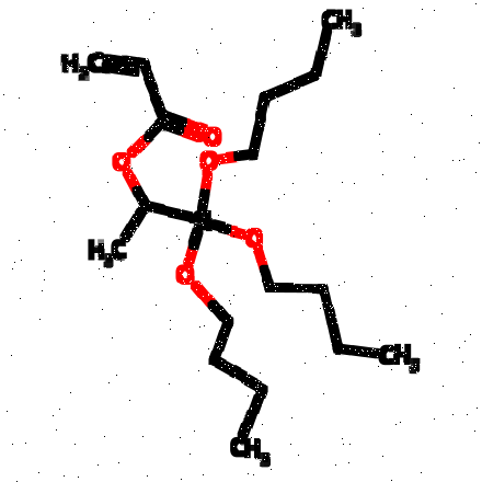 C=CC(=O)OC(C)[Si](OCCCC)(OCCCC)OCCCC